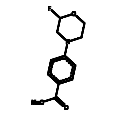 COC(=O)c1ccc(N2CCOC(F)C2)cc1